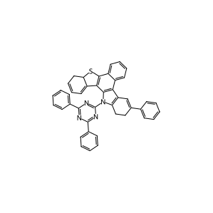 C1=CCC2Sc3c(c4c(c5c(n4-c4nc(-c6ccccc6)nc(-c6ccccc6)n4)CCC(c4ccccc4)=C5)c4ccccc34)C2=C1